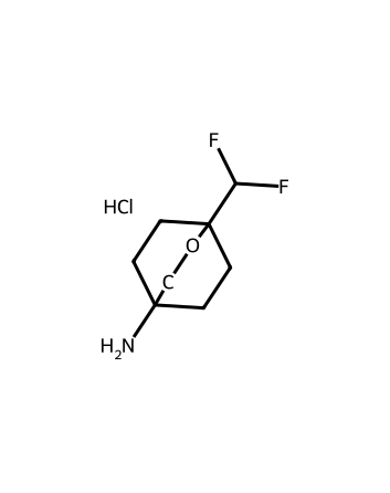 Cl.NC12CCC(C(F)F)(CC1)OC2